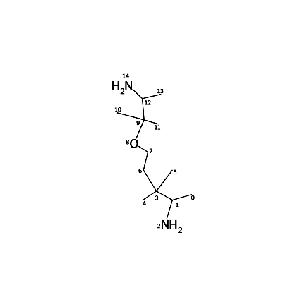 CC(N)C(C)(C)CCOC(C)(C)C(C)N